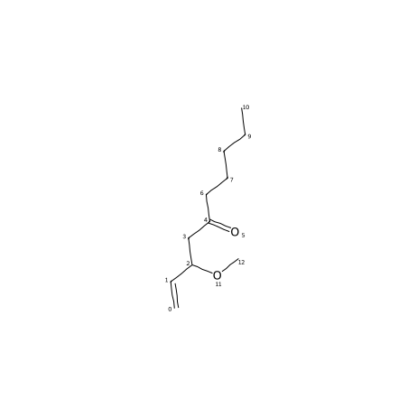 C=CC(CC(=O)CCCCC)OC